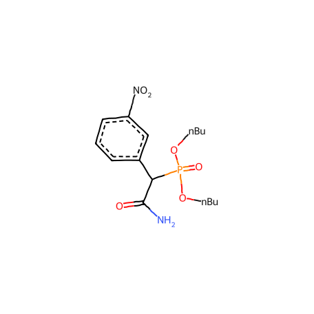 CCCCOP(=O)(OCCCC)C(C(N)=O)c1cccc([N+](=O)[O-])c1